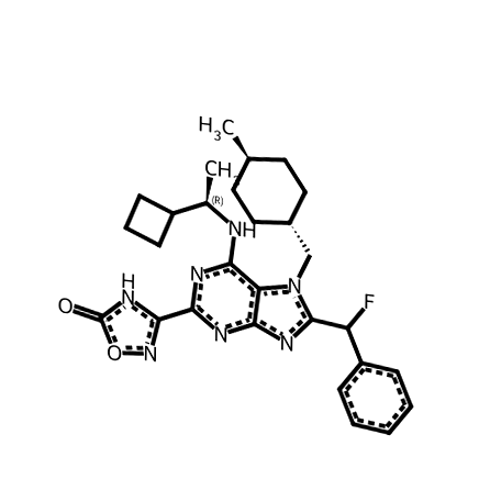 C[C@@H](Nc1nc(-c2noc(=O)[nH]2)nc2nc(C(F)c3ccccc3)n(C[C@H]3CC[C@H](C)CC3)c12)C1CCC1